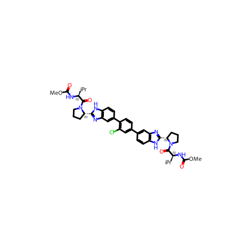 COC(=O)N[C@H](C(=O)N1CCC[C@H]1c1nc2cc(-c3ccc(-c4ccc5[nH]c([C@@H]6CCCN6C(=O)[C@@H](NC(=O)OC)C(C)C)nc5c4)c(Cl)c3)ccc2[nH]1)C(C)C